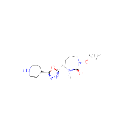 CCN1C(=O)N(OS(=O)(=O)O)CCC[C@H]1c1nnc(C2CCNCC2)o1